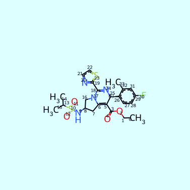 CCOC(=O)C1=C2CC(NS(=O)(=O)C(C)C)CN2C(c2nccs2)=N[C@H]1c1ccc(F)cc1C